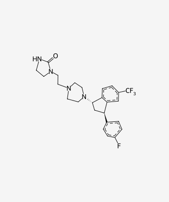 O=C1NCCN1CCN1CCN([C@H]2C[C@H](c3ccc(F)cc3)c3cc(C(F)(F)F)ccc32)CC1